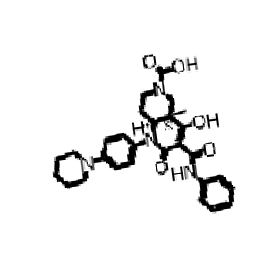 C[C@]12CN(C(=O)O)CC[C@@H]1N(c1ccc(N3CCCCC3)cc1)C(=O)C(C(=O)Nc1ccccc1)=C2O